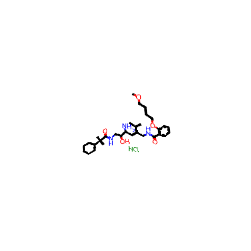 COCCCCOc1ccccc1C(=O)NCC(CC(N)C(O)CNC(=O)C(C)(C)C1CCCCC1)C(C)C.Cl